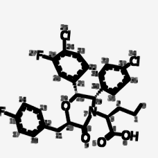 CCC[C@@H](C(=O)O)N1C(=O)[C@@H](Cc2ccc(F)cc2)O[C@H](c2ccc(Cl)c(F)c2)[C@@H]1c1ccc(Cl)cc1